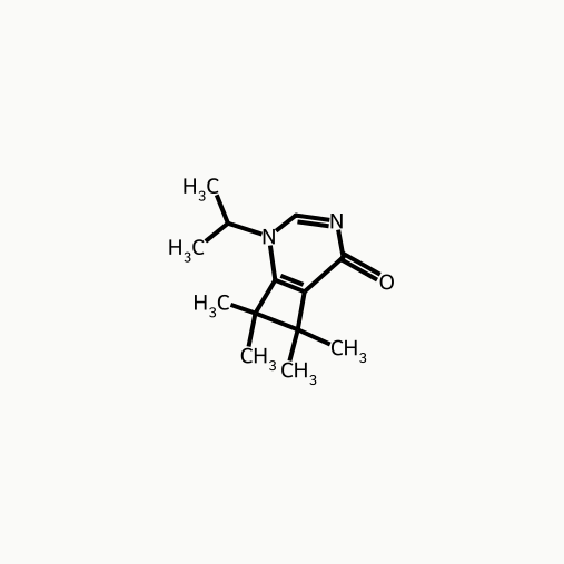 CC(C)n1cnc(=O)c2c1C(C)(C)C2(C)C